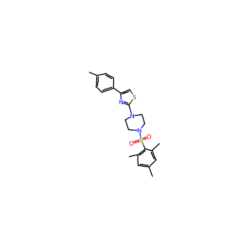 Cc1ccc(-c2csc(N3CCN(S(=O)(=O)c4c(C)cc(C)cc4C)CC3)n2)cc1